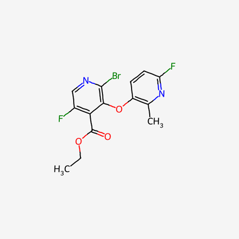 CCOC(=O)c1c(F)cnc(Br)c1Oc1ccc(F)nc1C